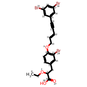 CCOC(Cc1ccc(OCC=CC#Cc2cc(Br)cc(Br)c2)c(Br)c1)C(=O)O